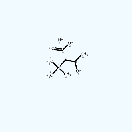 CC(O)C[N+](C)(C)C.N.O=CO